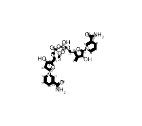 C=C1[C@@H](O)[C@H](N2C=CCC(C(N)=O)=C2)O[C@@H]1COP(=O)(O)OP(=O)(OC)OCC1O[C@H](N2C=CCC(C(N)=O)=C2)C[C@@H]1O